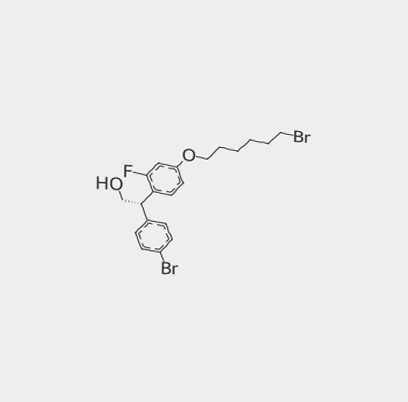 OC[C@@H](c1ccc(Br)cc1)c1ccc(OCCCCCCBr)cc1F